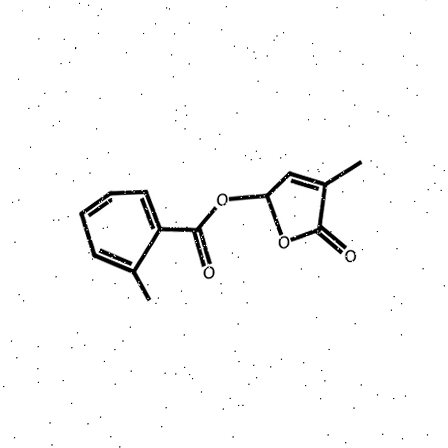 CC1=CC(OC(=O)c2ccccc2C)OC1=O